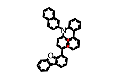 c1ccc(-c2ccccc2N(c2ccc(-c3cccc4c3oc3ccccc34)cc2)c2ccc3ccccc3c2)cc1